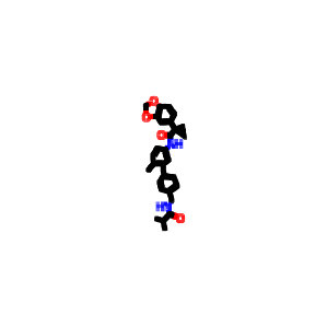 Cc1ccc(NC(=O)C2(c3ccc4c(c3)OCO4)CC2)cc1-c1ccc(CNC(=O)C(C)C)cc1